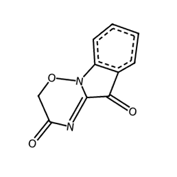 O=C1CON2C(=N1)C(=O)c1ccccc12